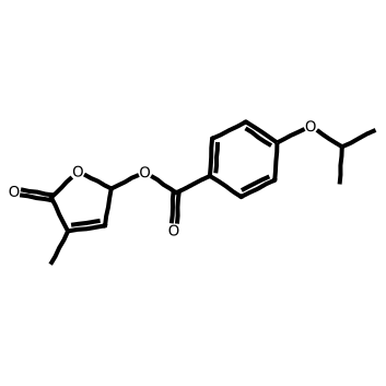 CC1=CC(OC(=O)c2ccc(OC(C)C)cc2)OC1=O